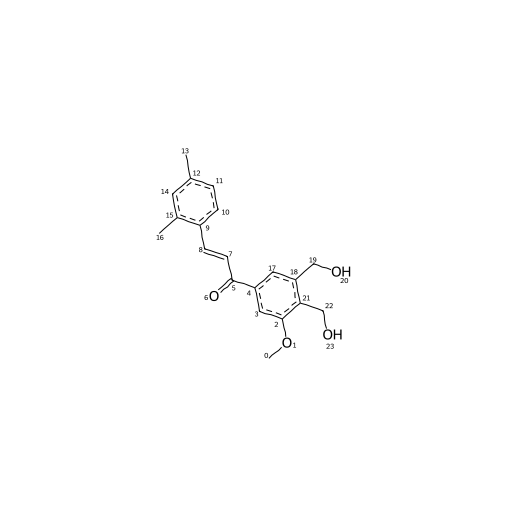 COc1cc(C(=O)/C=C/c2ccc(C)cc2C)cc(CO)c1CO